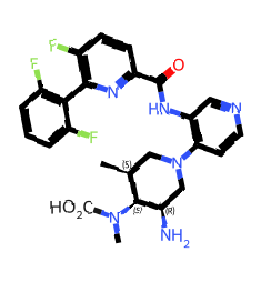 C[C@H]1CN(c2ccncc2NC(=O)c2ccc(F)c(-c3c(F)cccc3F)n2)C[C@@H](N)[C@H]1N(C)C(=O)O